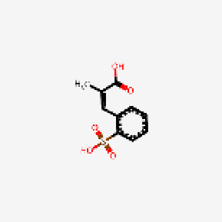 CC(=Cc1ccccc1S(=O)(=O)O)C(=O)O